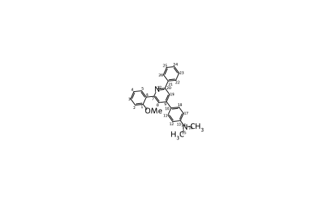 COc1ccccc1-c1cc(-c2ccc(N(C)C)cc2)cc(-c2ccccc2)n1